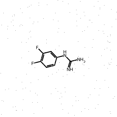 N=C(N)Nc1ccc(F)c(F)c1